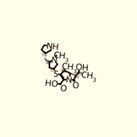 C[C@H]1C(S[C@H]2C[C@@H](C[C@@H]3CCNC3)N(C)C2)=C(C(=O)O)N2C(=O)[C@H]([C@@H](C)O)C12